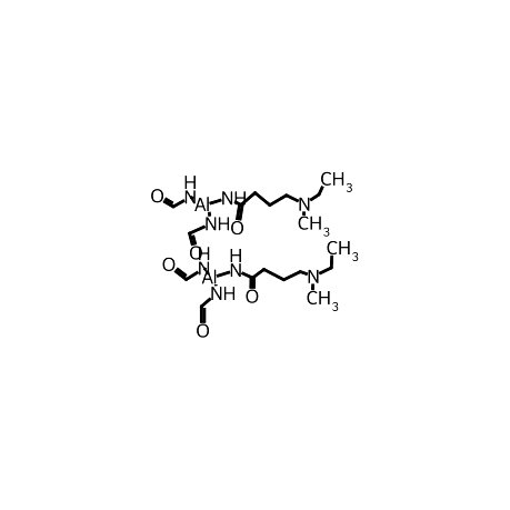 CCN(C)CCCC(=O)[NH][Al]([NH]C=O)[NH]C=O.CCN(C)CCCC(=O)[NH][Al]([NH]C=O)[NH]C=O